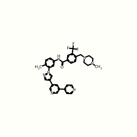 Cc1ccc(NC(=O)c2ccc(CN3CCN(C)CC3)c(C(F)(F)F)c2)cc1-n1cc(-c2cncc(-c3ccncc3)c2)cn1